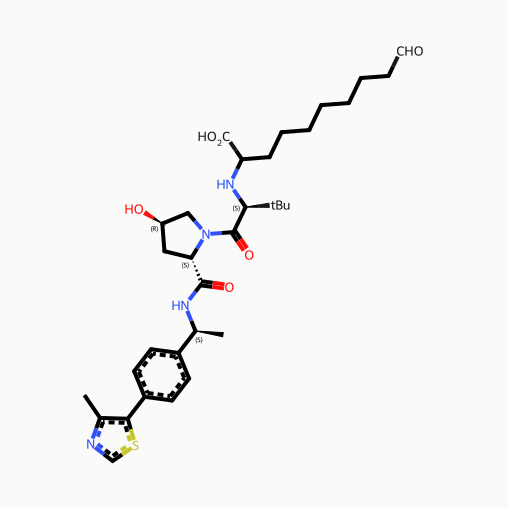 Cc1ncsc1-c1ccc([C@H](C)NC(=O)[C@@H]2C[C@@H](O)CN2C(=O)[C@@H](NC(CCCCCCCC=O)C(=O)O)C(C)(C)C)cc1